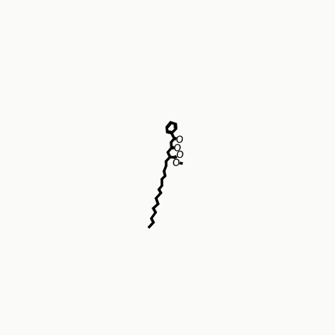 CCCCCCCCCCCCCCCC(CC(=O)CC(=O)c1ccccc1)C(=O)OC